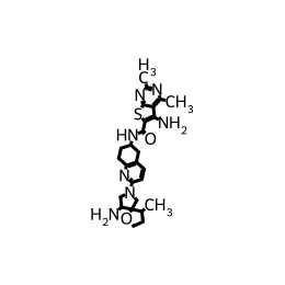 Cc1nc(C)c2c(N)c(C(=O)NC3CCc4nc(N5CC(N)C6(C5)OCCC6C)ccc4C3)sc2n1